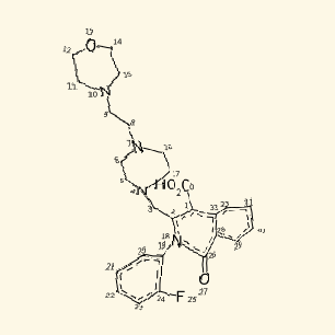 O=C(O)c1c(CN2CCN(CCN3CCOCC3)CC2)n(-c2ccccc2F)c(=O)c2ccccc12